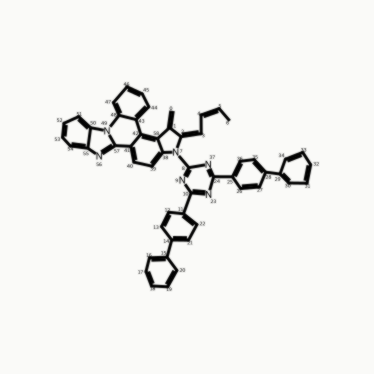 C=c1/c(=C\C=C/C)n(-c2nc(-c3ccc(-c4ccccc4)cc3)nc(-c3ccc(-c4ccccc4)cc3)n2)c2ccc3c(c4ccccc4n4c5ccccc5nc34)c12